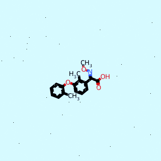 CO/N=C(/C(=O)O)c1cccc(Oc2ccccc2C)c1C